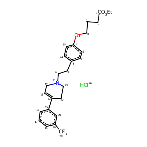 CCOC(=O)CCCOc1ccc(CCN2CC=C(c3cccc(C(F)(F)F)c3)CC2)cc1.Cl